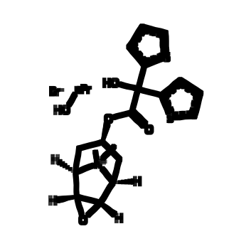 CCCO.C[N+]1(C)[C@@H]2C[C@@H](OC(=O)C(O)(c3cccs3)c3cccs3)C[C@H]1[C@@H]1O[C@@H]12.[Br-]